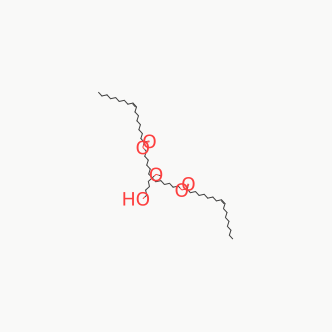 CCCCCCCC/C=C\CCCCCCCC(=O)OCCCCCCC(CCCCO)(CCCCCCOC(=O)CCCCCCC/C=C\CCCCCCCC)OC